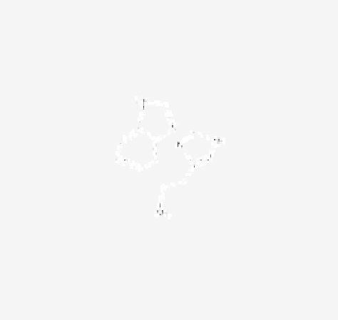 NCCc1c[nH]cn1.c1ccc2[nH]cnc2c1